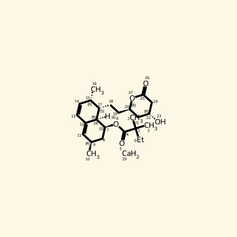 CCC(C)(C)C(=O)O[C@H]1C[C@@H](C)C=C2C=C[C@H](C)[C@H](CC[C@@H]3C[C@@H](O)CC(=O)O3)[C@H]21.[CaH2]